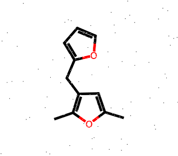 Cc1cc(Cc2ccco2)c(C)o1